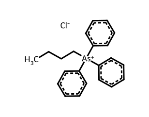 CCCC[As+](c1ccccc1)(c1ccccc1)c1ccccc1.[Cl-]